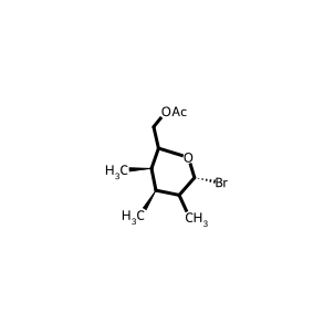 CC(=O)OCC1O[C@H](Br)C(C)[C@@H](C)[C@H]1C